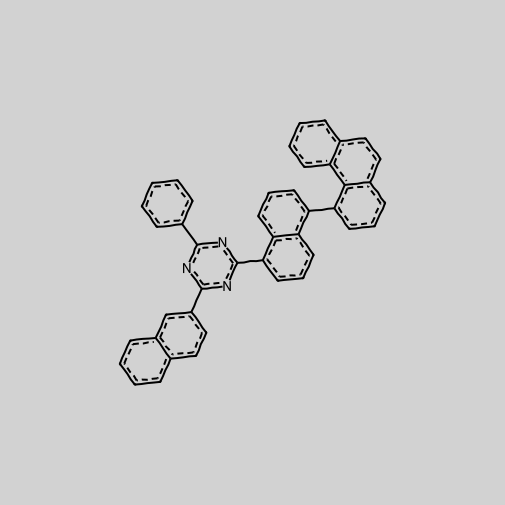 c1ccc(-c2nc(-c3ccc4ccccc4c3)nc(-c3cccc4c(-c5cccc6ccc7ccccc7c56)cccc34)n2)cc1